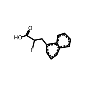 O=C(O)C(F)Cc1cccc2ccccc12